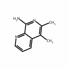 Cc1nc(N)c2ncccc2c1C